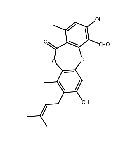 CC(C)=CCc1c(O)cc2c(c1C)OC(=O)c1c(C)cc(O)c(C=O)c1O2